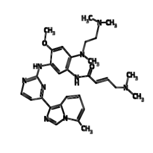 COc1cc(N(C)CCN(C)C)c(NC(=O)/C=C/CN(C)C)cc1Nc1nccc(-c2ncn3c(C)cccc23)n1